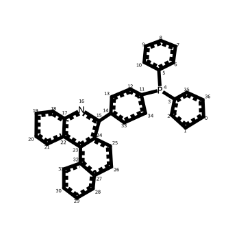 c1ccc(P(c2ccccc2)c2ccc(-c3nc4ccccc4c4c3ccc3ccccc34)cc2)cc1